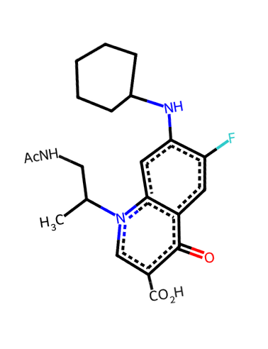 CC(=O)NCC(C)n1cc(C(=O)O)c(=O)c2cc(F)c(NC3CCCCC3)cc21